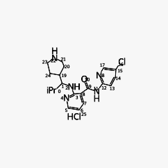 CC(C)C(Nc1ncccc1C(=O)Nc1ccc(Cl)cn1)C1CCNCC1.Cl